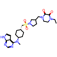 CCN1CCN(CC2CCN(S(=O)(=O)C[C@H]3CC[C@H](N(C)c4ncnc5[nH]ccc45)CC3)C2)C(=O)C1=O